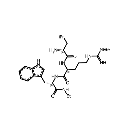 CCNC(=O)[C@H](Cc1c[nH]c2ccccc12)NC(=O)[C@H](CCCNC(=N)NC)NC(=O)[C@@H](N)CC(C)C